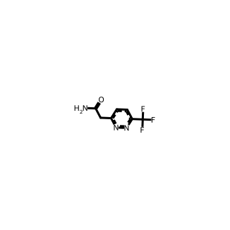 NC(=O)Cc1ccc(C(F)(F)F)nn1